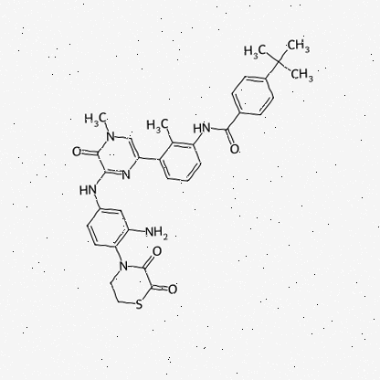 Cc1c(NC(=O)c2ccc(C(C)(C)C)cc2)cccc1-c1cn(C)c(=O)c(Nc2ccc(N3CCSC(=O)C3=O)c(N)c2)n1